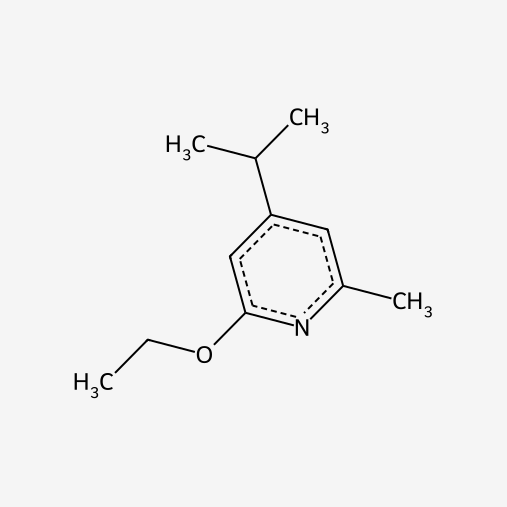 CCOc1cc(C(C)C)cc(C)n1